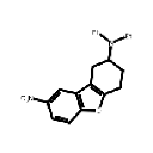 CCN(CC)C1CCc2oc3ccc([N+](=O)[O-])cc3c2C1